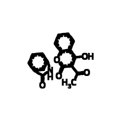 CC(=O)c1c(O)c2ccccc2oc1=O.O=C1Nc2cccc1c2